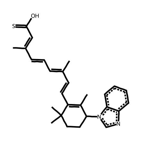 CC(C=CC1=C(C)C(n2cnc3ccccc32)CCC1(C)C)=CC=CC(C)=CC(O)=S